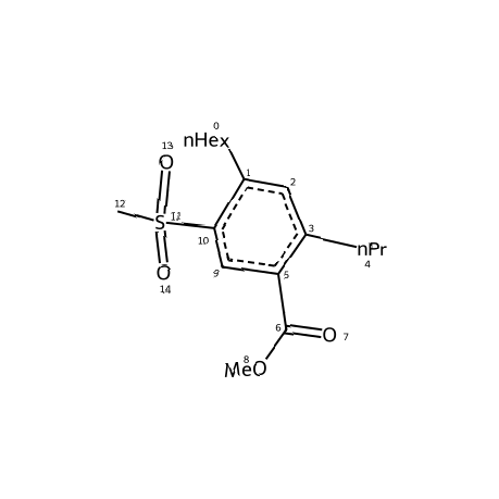 CCCCCCc1cc(CCC)c(C(=O)OC)cc1S(C)(=O)=O